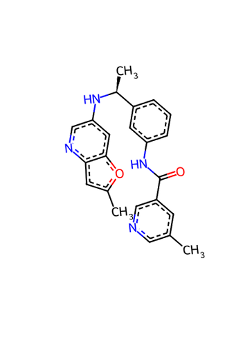 Cc1cncc(C(=O)Nc2cccc([C@H](C)Nc3cnc4cc(C)oc4c3)c2)c1